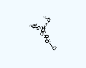 Cc1c(COc2cc(OCc3cncc(C#N)c3)c(CN3CCC(c4cc[nH]n4)C3)cc2Cl)cccc1-c1cccc(OCCCN2CCCC2)c1C